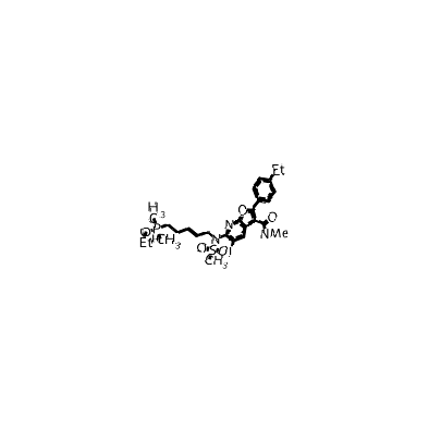 CCO[PH](C)(C)CCCCCN(c1nc2oc(-c3ccc(CC)cc3)c(C(=O)NC)c2cc1I)S(C)(=O)=O